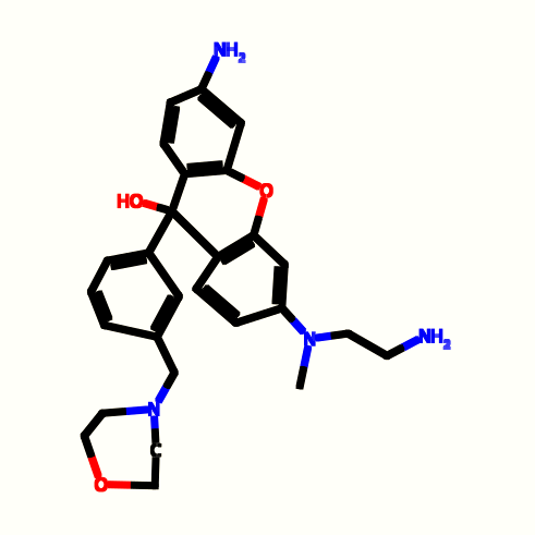 CN(CCN)c1ccc2c(c1)Oc1cc(N)ccc1C2(O)c1cccc(CN2CCOCC2)c1